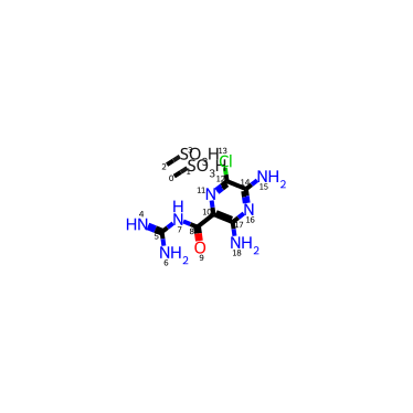 CS(=O)(=O)O.CS(=O)(=O)O.N=C(N)NC(=O)c1nc(Cl)c(N)nc1N